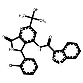 CC(C)(O)c1cc(NC(=O)c2nsc3ccccc23)c2c(n1)C(=O)NC2c1ccccc1Cl